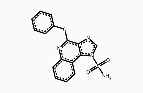 NS(=O)(=O)n1cnc2c(Oc3ccccc3)nc3ccccc3c21